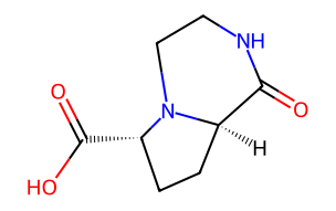 O=C(O)[C@H]1CC[C@@H]2C(=O)NCCN12